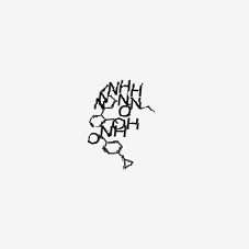 CCCNC(=O)Nc1cc(-c2cccc(NC(=O)c3ccc(C4CC4)cc3)c2CO)nn2ccnc12